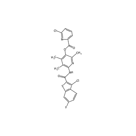 Cc1nc(NC(=O)c2sc3cc(F)ccc3c2Cl)c(C)c(C)c1OC(=O)c1cccc(Cl)n1